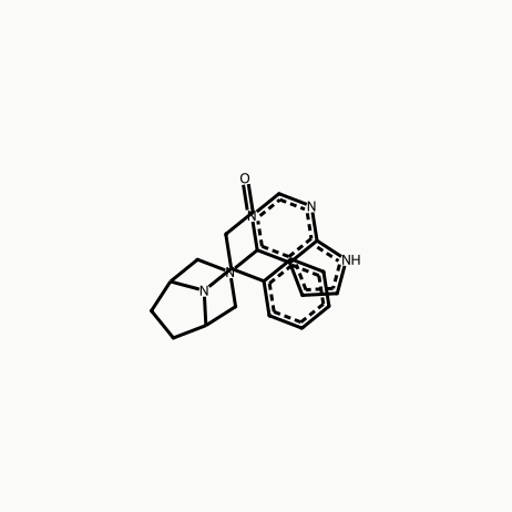 O=CCC(c1ccccc1)N1C2CCC1CN(c1ncnc3[nH]ccc13)C2